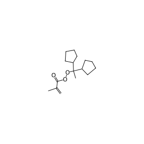 C=C(C)C(=O)OOC(C)(C1CCCC1)C1CCCC1